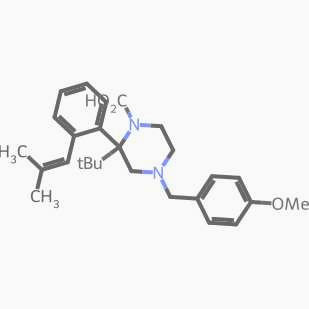 COc1ccc(CN2CCN(C(=O)O)C(c3ccccc3C=C(C)C)(C(C)(C)C)C2)cc1